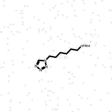 CCCCCCCCCCCCn1[c]nnn1